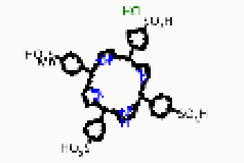 Cl.O=S(=O)(O)c1ccc(-c2c3nc(c(-c4ccc(S(=O)(=O)O)cc4)c4ccc([nH]4)c(-c4ccc(S(=O)(=O)O)cc4)c4nc(c(-c5ccc(S(=O)(=O)O)cc5)c5ccc2[nH]5)C=C4)C=C3)cc1.[Mn]